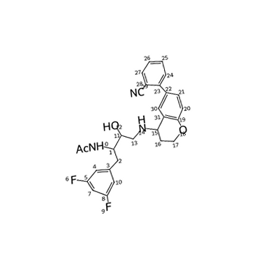 CC(=O)NC(Cc1cc(F)cc(F)c1)C(O)CNC1CCOc2ccc(-c3ccccc3C#N)cc21